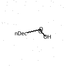 CCCCCCCCCCCCCCCCCCCCCC(=O)OCCCCCO